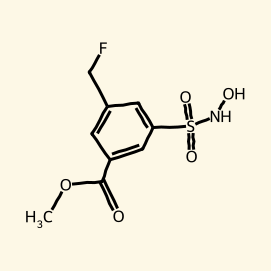 COC(=O)c1cc(CF)cc(S(=O)(=O)NO)c1